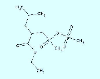 CCOC(=O)C(CC(C)C)CP(C)(=O)OS(C)(=O)=O